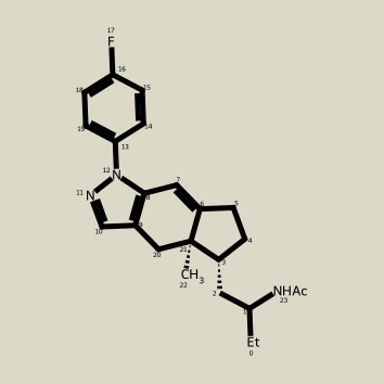 CCC(C[C@H]1CCC2=Cc3c(cnn3-c3ccc(F)cc3)C[C@@]21C)NC(C)=O